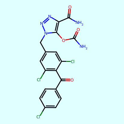 NC(=O)Oc1c(C(N)=O)nnn1Cc1cc(Cl)c(C(=O)c2ccc(Cl)cc2)c(Cl)c1